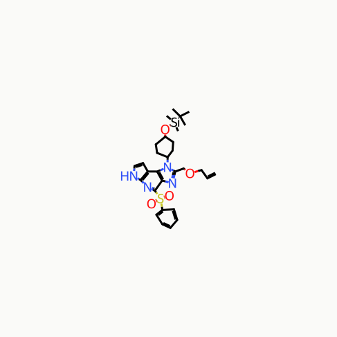 C=CCOCc1nc2c(S(=O)(=O)c3ccccc3)nc3[nH]ccc3c2n1C1CCC(O[Si](C)(C)C(C)(C)C)CC1